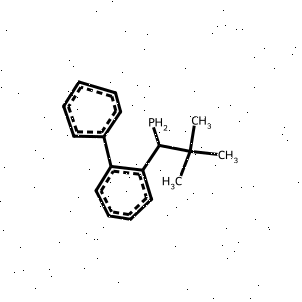 CC(C)(C)C(P)c1ccccc1-c1ccccc1